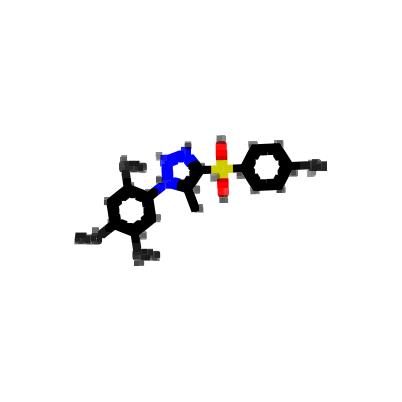 COc1cc(OC)c(-n2nnc(S(=O)(=O)c3ccc(C(C)(C)C)cc3)c2C)cc1OC